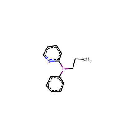 CCCP(c1ccccc1)c1ccccn1